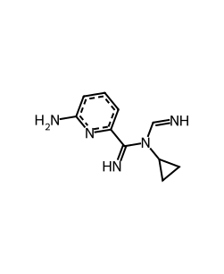 N=CN(C(=N)c1cccc(N)n1)C1CC1